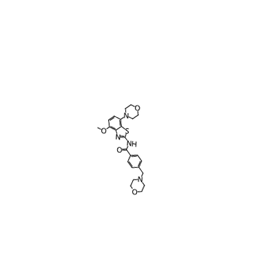 COc1ccc(N2CCOCC2)c2sc(NC(=O)c3ccc(CN4CCOCC4)cc3)nc12